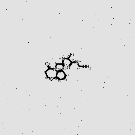 CCC(NC(=O)CN1C(=O)CCSc2ccccc21)C(=O)NCN